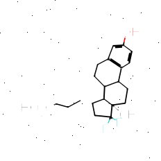 C[C@]12CCC3c4ccc(O)cc4CCC3C1[C@@H](CCCC(=O)O)CC2(F)F